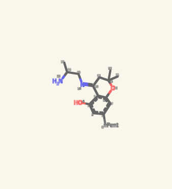 CCCCCc1cc(O)c2c(c1)OC(C)(C)CC2=NCC(C)N